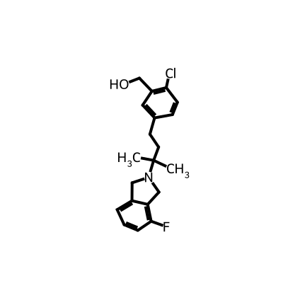 CC(C)(CCc1ccc(Cl)c(CO)c1)N1Cc2cccc(F)c2C1